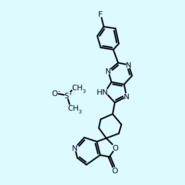 C[S+](C)[O-].O=C1OC2(CCC(c3nc4cnc(-c5ccc(F)cc5)nc4[nH]3)CC2)c2cnccc21